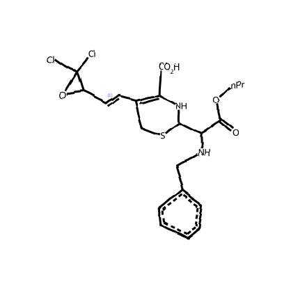 CCCOC(=O)C(NCc1ccccc1)C1NC(C(=O)O)=C(/C=C/C2OC2(Cl)Cl)CS1